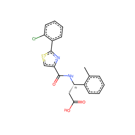 Cc1ccccc1[C@H](CC(=O)O)NC(=O)c1csc(-c2ccccc2Cl)n1